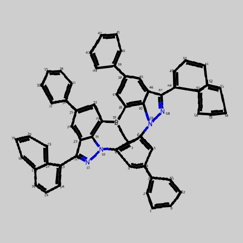 c1ccc(-c2cc3c4c(c2)-n2nc(-c5cccc6ccccc56)c5cc(-c6ccccc6)cc(c52)B4c2cc(-c4ccccc4)cc4c(-c5cccc6ccccc56)nn-3c24)cc1